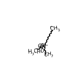 CCCCCCCCCCCC[N+]([O-])(CC(O)CCC)CC(O)CCC